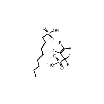 CCCCCCCCS(=O)(=O)O.O=S(=O)(O)C(F)(F)C(F)=C(F)F